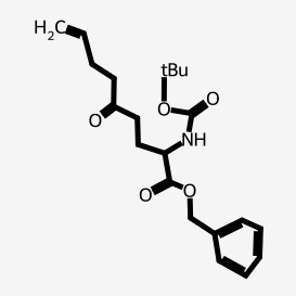 C=CCCC(=O)CCC(NC(=O)OC(C)(C)C)C(=O)OCc1ccccc1